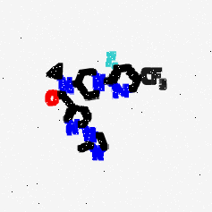 Cc1nccn1-c1ccc(C(=O)N(C2CC2)C2CCN(c3ncc(C(F)(F)F)cc3F)CC2)cn1